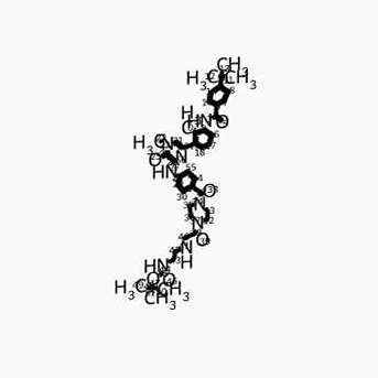 Cc1c(NC(=O)c2ccc(C(C)(C)C)cc2)cccc1-c1cn(C)c(=O)c(Nc2ccc(C(=O)N3CCN(C(=O)CNCCNC(=O)OC(C)(C)C)CC3)cc2)n1